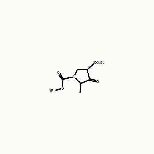 CCOC(=O)C1CN(C(=O)OC(C)(C)C)C(C)C1=O